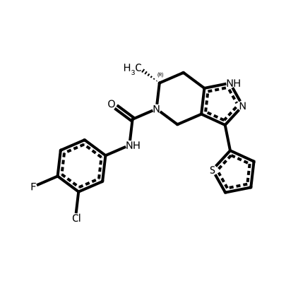 C[C@@H]1Cc2[nH]nc(-c3cccs3)c2CN1C(=O)Nc1ccc(F)c(Cl)c1